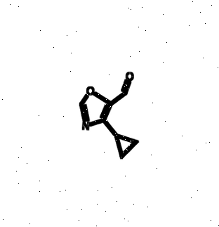 O=Cc1ocnc1C1CC1